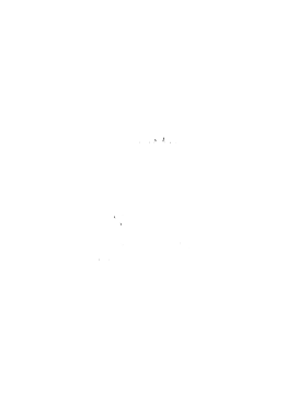 COc1ccc2c(O)cc(=O)n(C)c2c1